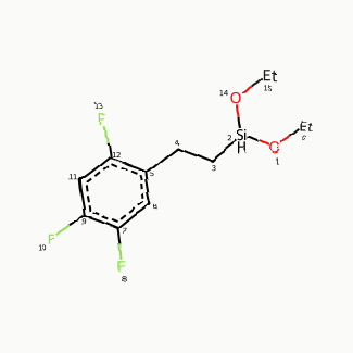 CCO[SiH](CCc1cc(F)c(F)cc1F)OCC